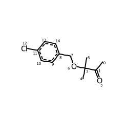 CC(=O)C(C)(C)OCc1ccc(Cl)cc1